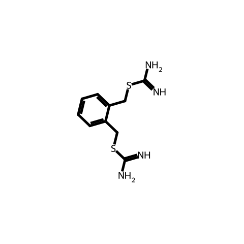 N=C(N)SCc1ccccc1CSC(=N)N